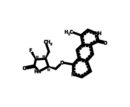 CC[C@@H]1[C@H](F)C(=O)N[C@@H]1COc1nccc2cc3c(=O)[nH]cc(C)c3cc12